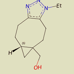 CCn1nnc2c1CCC1(CO)C[C@@H]1CC2